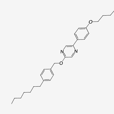 CCCCCCCc1ccc(COc2cnc(-c3ccc(OCCCC)cc3)cn2)cc1